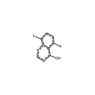 Oc1ncnc2c(F)ccc(F)c12